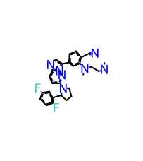 CN(C)CCN(C)c1cc(-c2cnc3ccc(N4CCCC4c4cc(F)ccc4F)nn23)ccc1C#N